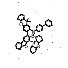 CC1(C)c2ccccc2Oc2cc3c(cc21)N(c1ccc(-c2ccccc2)cc1)B1c2cccc4c2N(c2ccccc2O4)c2c1c-3cc1c2sc2ccccc21